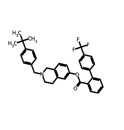 CC(C)(C)c1ccc(CN2CCc3cc(OC(=O)c4ccccc4-c4ccc(C(F)(F)F)cc4)ccc3C2)cc1